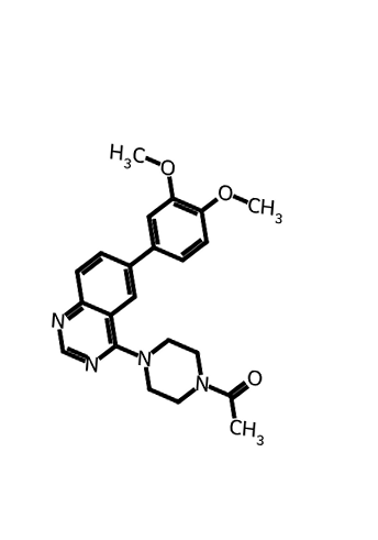 COc1ccc(-c2ccc3ncnc(N4CCN(C(C)=O)CC4)c3c2)cc1OC